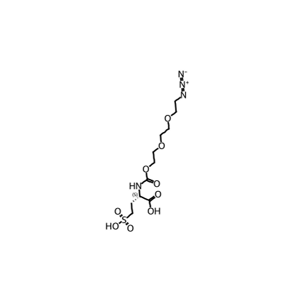 [N-]=[N+]=NCCOCCOCCOC(=O)N[C@@H](CCS(=O)(=O)O)C(=O)O